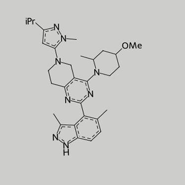 COC1CCN(c2nc(-c3c(C)ccc4[nH]nc(C)c34)nc3c2CN(c2cc(C(C)C)nn2C)CC3)C(C)C1